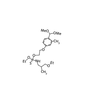 CCOCC(C)CNP(=S)(OCC)OCCOc1ccc(C(OC)OC)c(C)c1